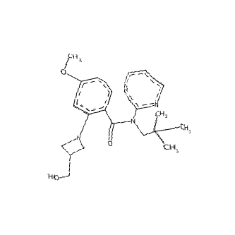 COc1ccc(C(=O)N(CC(C)(C)C)c2ccccn2)c(N2CC(CO)C2)c1